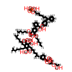 CC(C)CCCCCc1c(CCCCCC(C)C)c(C(=O)O)c(C(=O)O)c(CCCCCC(C)C)c1C(=O)O.CC(O)COC(C)CO.CCCCCCOC(=O)c1ccccc1C(=O)OCCCCCC.O=C(O)c1ccccc1.O=C(O)c1ccccc1.O=P(O)(O)OCCCCCCCC(c1ccccc1)c1ccccc1